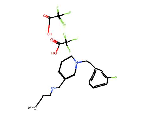 COCCNCC1CCCN(Cc2cccc(F)c2)C1.O=C(O)C(F)(F)F.O=C(O)C(F)(F)F